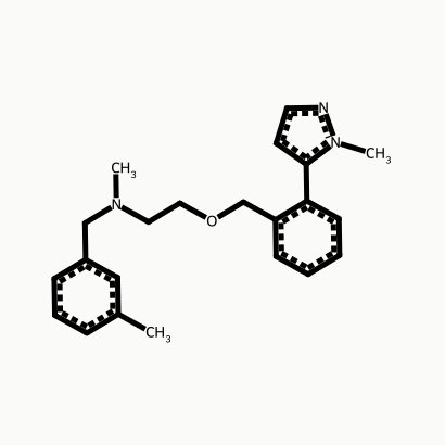 Cc1cccc(CN(C)CCOCc2ccccc2-c2ccnn2C)c1